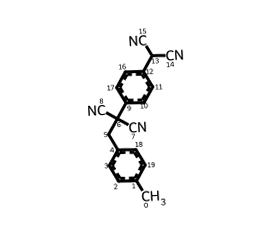 Cc1ccc(CC(C#N)(C#N)c2ccc(C(C#N)C#N)cc2)cc1